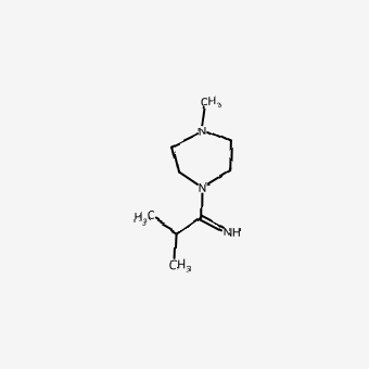 CC(C)C(=N)N1CCN(C)CC1